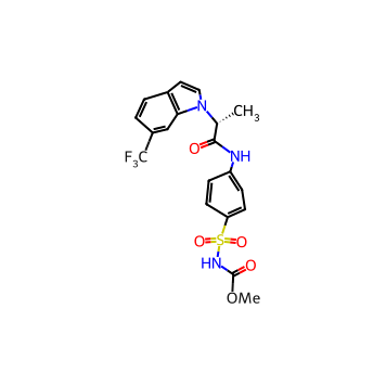 COC(=O)NS(=O)(=O)c1ccc(NC(=O)[C@@H](C)n2ccc3ccc(C(F)(F)F)cc32)cc1